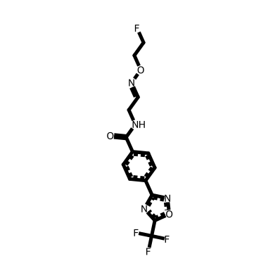 O=C(NCC=NOCCF)c1ccc(-c2noc(C(F)(F)F)n2)cc1